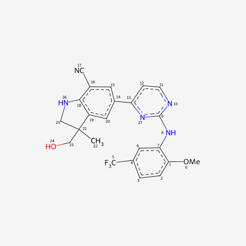 COc1ccc(C(F)(F)F)cc1Nc1nccc(-c2cc(C#N)c3c(c2)C(C)(CO)CN3)n1